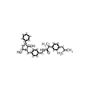 CC(C)Cc1ccc(C(C)C(=O)NCc2ccc(CN3C(O)SN(c4ccccc4)C3O)cc2)cc1